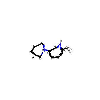 CCc1ccc(N2CCCCC2)cn1